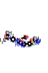 CC(Cn1cncn1)Oc1cc(-c2cnc(Nc3cn(C4CCC(N5C[C@@H](C)O[C@@H](C)C5)CC4)nc3OCC3COC3)nc2)ccc1Cl